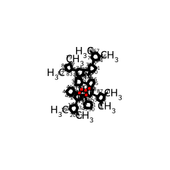 Cc1cc(C)cc(-c2ccc3c(c2)c2cc(-c4cc(C)cc(C)c4)ccc2n3-c2ccccc2-c2c(-c3cc(-c4ccccc4)nc(-c4ccccc4)n3)cccc2-n2c3ccc(-c4cc(C)cc(C)c4)cc3c3cc(-c4cc(C)cc(C)c4)ccc32)c1